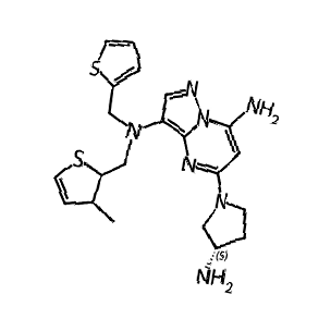 CC1C=CSC1CN(Cc1cccs1)c1cnn2c(N)cc(N3CC[C@H](N)C3)nc12